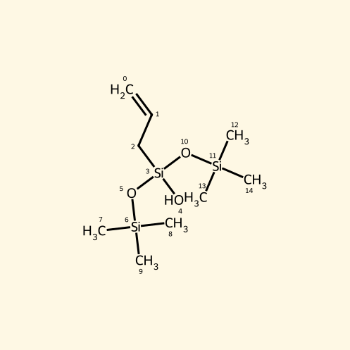 C=CC[Si](O)(O[Si](C)(C)C)O[Si](C)(C)C